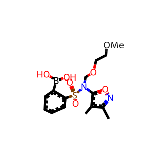 COCCOCN(c1onc(C)c1C)S(=O)(=O)c1ccccc1B(O)O